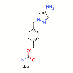 CC(C)(C)NC(=O)OCc1ccc(Cn2cc(N)cn2)cc1